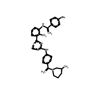 C=C(Nc1cccc(-c2ccnc(Nc3ccc(C(=C)N4CCCC(C)C4)cc3)n2)c1C)c1ccc(C(C)(C)C)cc1